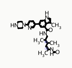 C/C(=C/C(C)=C(\C)CNC(=O)c1cc(-c2ccc(N3CCNCC3)nc2)cc2[nH]cc(C)c12)NC=O